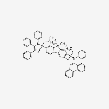 CCCC(C)(c1ccc2c(c1)C(C)(C)c1cc3c(cc1-2)CC3(CC)N(c1ccccc1)c1cc2ccccc2c2ccccc12)N(c1ccccc1)c1cc2ccccc2c2ccccc12